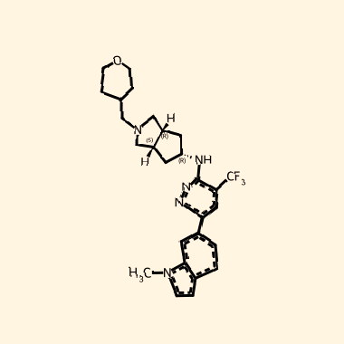 Cn1ccc2ccc(-c3cc(C(F)(F)F)c(N[C@@H]4C[C@@H]5CN(CC6CCOCC6)C[C@@H]5C4)nn3)cc21